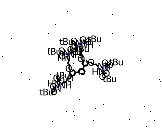 CC(C)(C)OC(=O)/N=C(/NCCCOc1cc(OCCCN/C(=N\C(=O)OC(C)(C)C)NC(=O)OC(C)(C)C)cc(-c2cccc(-c3cc(OCCCN/C(=N\C(=O)OC(C)(C)C)NC(=O)OC(C)(C)C)cc(OCCCN/C(=N\C(=O)OC(C)(C)C)NC(=O)OC(C)(C)C)c3)c2)c1)NC(=O)OC(C)(C)C